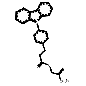 C=C(COC(=O)CCc1ccc(-n2c3ccccc3c3ccccc32)cc1)C(=O)OCC